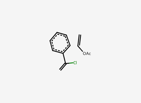 C=C(Cl)c1ccccc1.C=COC(C)=O